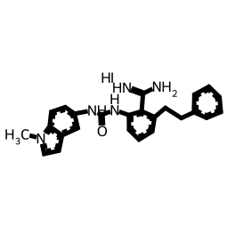 Cn1ccc2cc(NC(=O)Nc3cccc(CCc4ccccc4)c3C(=N)N)ccc21.I